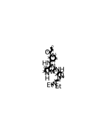 C=CC(=O)N1CCC[C@@H](Nc2nc(Nc3cnn(CCN(CC)CC)c3)nc3[nH]ccc23)C1